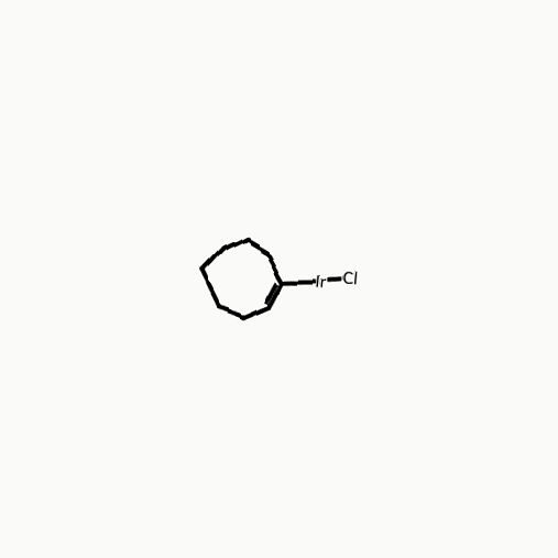 [Cl][Ir][C]1=CCCCCCC1